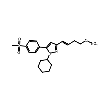 CS(=O)(=O)c1ccc(-c2cc(C=CCCO[N+](=O)[O-])nn2C2CCCCC2)cc1